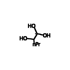 CCCC(O)[C](O)O